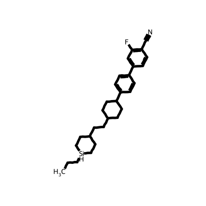 CCC[SiH]1CCC(CCC2CCC(c3ccc(-c4ccc(C#N)c(F)c4)cc3)CC2)CC1